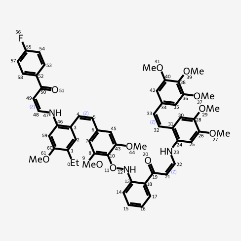 CCc1cc(/C=C\c2cc(OC)c(ONc3ccccc3C(=O)/C=C\Nc3cc(OC)c(OC)cc3/C=C\c3cc(OC)c(OC)c(OC)c3)c(OC)c2)c(N/C=C\C(=O)c2ccc(F)cc2)cc1OC